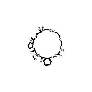 CC(C)C[C@H]1NC(=O)c2ccccc2OCC(=O)NCCCCCCCCNC(=O)CNC(=O)[C@H]2CCCN2C1=O